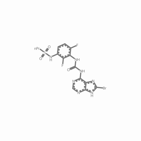 CCCS(=O)(=O)Nc1ccc(F)c(NC(=O)Nc2ncnc3[nH]c(Br)nc23)c1F